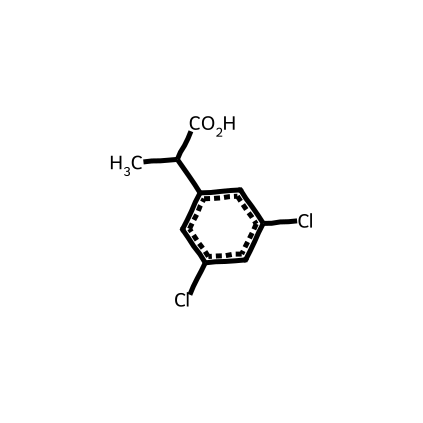 CC(C(=O)O)c1cc(Cl)cc(Cl)c1